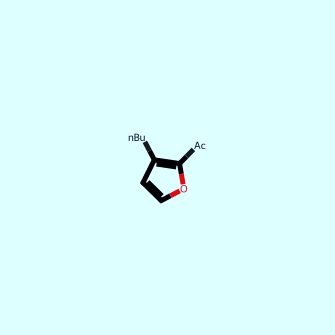 CCCCc1ccoc1C(C)=O